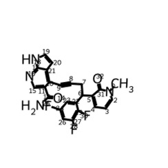 Cn1cccc(C(CC#Cc2c(C(N)=O)cnc3[nH]ccc23)c2cc(F)cc(F)c2F)c1=O